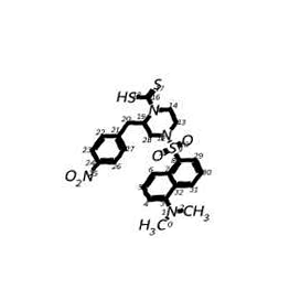 CN(C)c1cccc2c(S(=O)(=O)N3CCN(C(=S)S)C(Cc4ccc([N+](=O)[O-])cc4)C3)cccc12